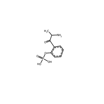 CC(N)C(=O)c1ccccc1OP(=O)(O)O